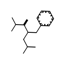 CC(C)CC(Cc1ccccc1)C(=O)C(C)C